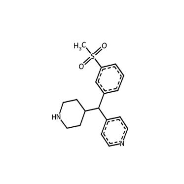 CS(=O)(=O)c1cccc(C(c2ccncc2)C2CCNCC2)c1